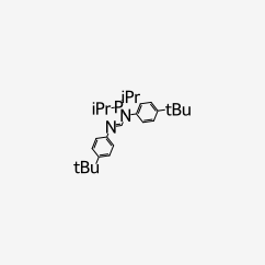 CC(C)P(C(C)C)N(/C=N/c1ccc(C(C)(C)C)cc1)c1ccc(C(C)(C)C)cc1